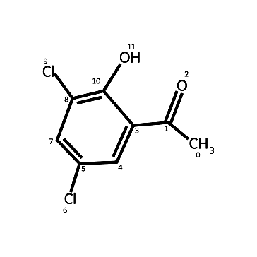 CC(=O)c1cc(Cl)cc(Cl)c1O